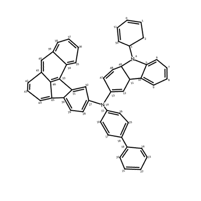 C1=CCC(N2c3ccccc3C3C=C(N(c4ccc(-c5ccccc5)cc4)c4ccc5c(c4)-c4c6ccccc6cc6cccc-5c46)C=CC32)C=C1